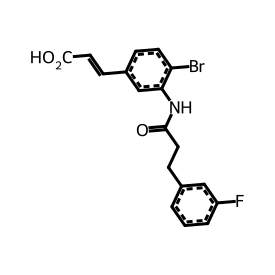 O=C(O)/C=C/c1ccc(Br)c(NC(=O)CCc2cccc(F)c2)c1